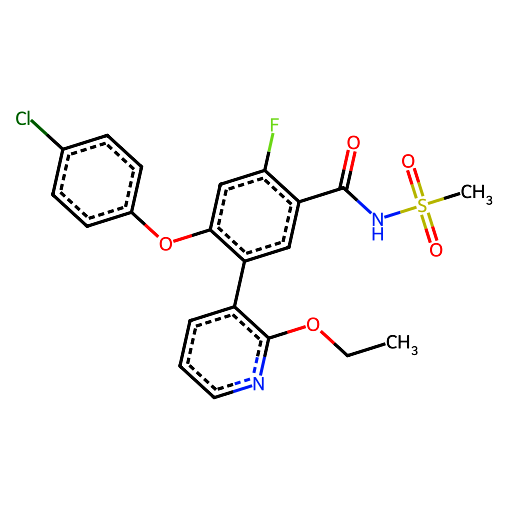 CCOc1ncccc1-c1cc(C(=O)NS(C)(=O)=O)c(F)cc1Oc1ccc(Cl)cc1